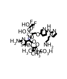 CC1(C)[C@H](NC(=O)/C(=N\OC(COc2ccc(Nc3nccn3CCCN)nc2)C(=O)O)c2csc(N)n2)C(=O)N1OS(=O)(=O)O.O=C(O)C(F)(F)F